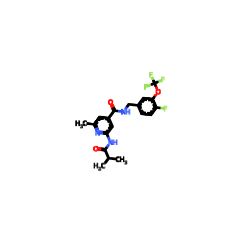 Cc1cc(C(=O)NCc2ccc(F)c(OC(F)(F)F)c2)cc(NC(=O)C(C)C)n1